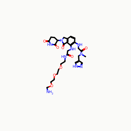 CN(Cc1cn[nH]c1)C(=O)CNc1ccc2c(c1NCC(=O)NCCOCCOCCOCN)C(=O)N(C1CCC(=O)NC1=O)C2